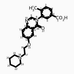 Cc1ccc(C(=O)O)cc1-n1cnc2ccc(OCCN3CCCCC3)cc2c1=O